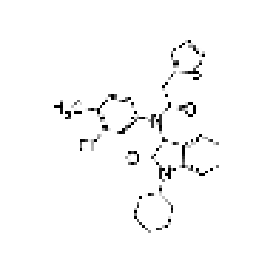 Cc1ccc(N(C(=O)Cc2cccs2)C2C(=O)N(C3CCCCC3)c3ccccc32)cc1Cl